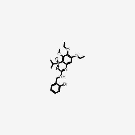 CCOc1cc2c(c(OC)c1OCC)S(=O)(C(C)C)=NC(NCc1ccccc1Br)=N2